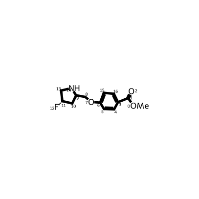 COC(=O)c1ccc(OCC2C[C@H](F)CN2)cc1